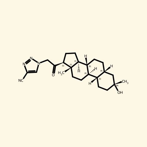 C[C@@]1(O)CC[C@H]2[C@H](CC[C@@H]3[C@@H]2CC[C@]2(C)[C@@H](C(=O)Cn4cc(C#N)nn4)CC[C@@H]32)C1